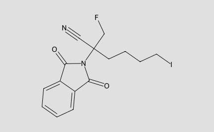 N#CC(CF)(CCCCI)N1C(=O)c2ccccc2C1=O